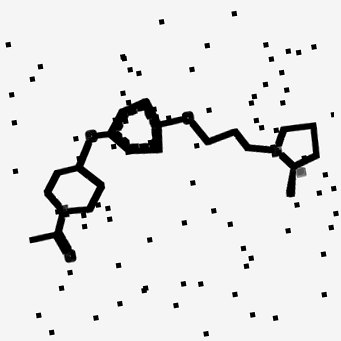 CC(=O)N1CCC(Oc2ccc(OCCCN3CCC[C@H]3C)cc2)CC1